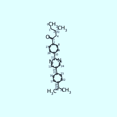 CC[C@H](C)CC(=O)c1ccc(-c2ncc(-c3ccc(C(C)C)cc3)cn2)cc1